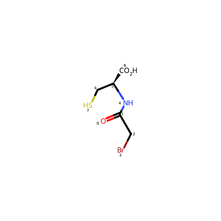 O=C(CBr)N[C@@H](CS)C(=O)O